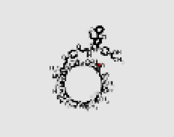 C=CC(O)N1CCN(c2nc(NCCC(=O)N3CCN(C(=O)CCC[C@@H](C)[C@@H](O)[C@H]4C(=O)N[C@@H](CC)C(=O)N(C)CC(=O)N(C)[C@@H](CC(C)C)C(=O)N[C@@H](C(C)C)C(=O)N(C)[C@@H](CC(C)C)C(=O)N[C@@H](C)C(=O)N[C@H](C)C(=O)N(C)[C@@H](CC(C)C)C(=O)N(C)[C@@H](CC(C)C)C(=O)N(C)[C@@H](C(C)C)C(=O)N4C)CC3)nc3c4c(c(Cl)cc23)-c2c(F)cccc2OC/C=C/4)CC1